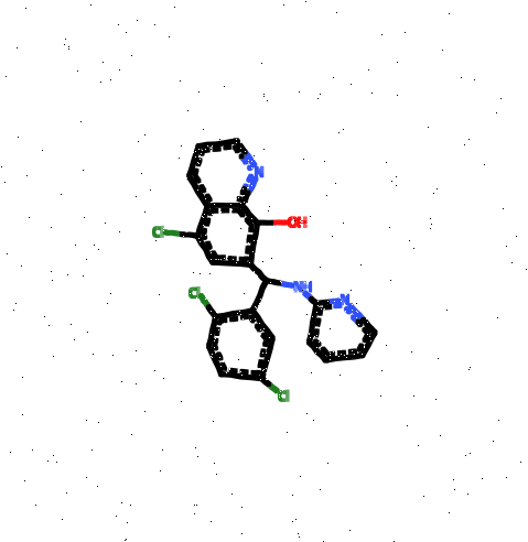 Oc1c(C(Nc2ccccn2)c2cc(Cl)ccc2Cl)cc(Cl)c2cccnc12